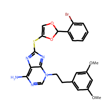 COc1cc(CCn2cnc(N)c3nc(SC4=COC(c5ccccc5Br)O4)nc2-3)cc(OC)c1